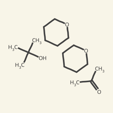 C1CCOCC1.C1CCOCC1.CC(C)(C)O.CC(C)=O